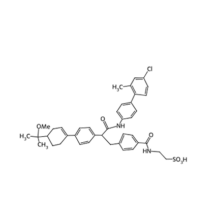 COC(C)(C)C1CC=C(c2ccc(C(Cc3ccc(C(=O)NCCS(=O)(=O)O)cc3)C(=O)Nc3ccc(-c4ccc(Cl)cc4C)cc3)cc2)CC1